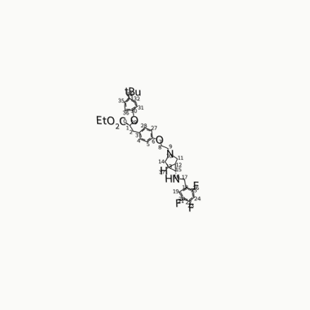 CCOC(=O)[C@H](Cc1ccc(OCCN2CC3[C@H](C2)[C@H]3NCc2cc(F)c(F)cc2F)cc1)Oc1ccc(C(C)(C)C)cc1